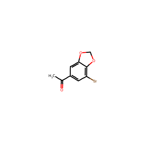 CC(=O)c1cc(Br)c2c(c1)OCO2